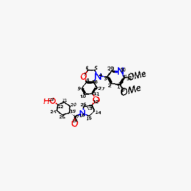 COc1cc(N2CCOc3ccc(O[C@H]4CCN(C(=O)[C@H]5CC[C@H](O)CC5)C4)cc32)cnc1OC